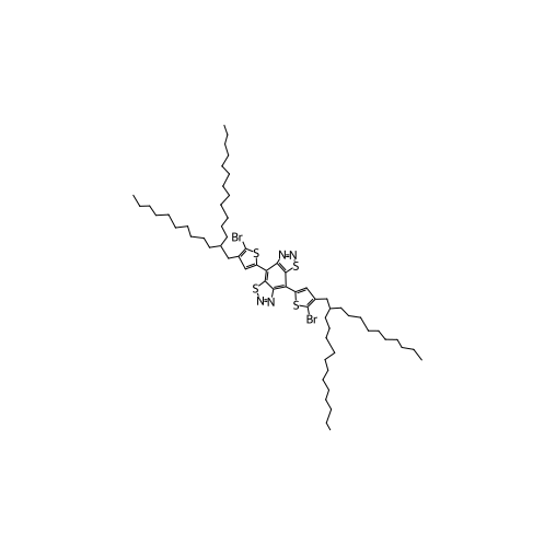 CCCCCCCCCCCCC(CCCCCCCCCC)Cc1cc(-c2c3nnsc3c(-c3cc(CC(CCCCCCCCCC)CCCCCCCCCCCC)c(Br)s3)c3nnsc23)sc1Br